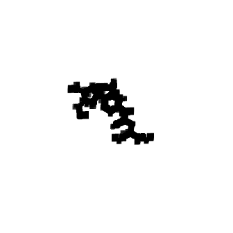 COC1(n2ccc(NC(=O)CC(N)C(=O)O)nc2=O)C[C@@H](O)[C@@H](CO)O1